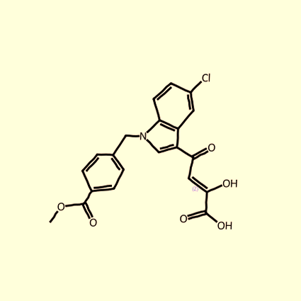 COC(=O)c1ccc(Cn2cc(C(=O)/C=C(\O)C(=O)O)c3cc(Cl)ccc32)cc1